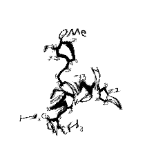 COc1ccc(CCc2nc3cc(-c4c(C)noc4C)cnc3n2CC(=O)NC2CCOCC2)cc1F